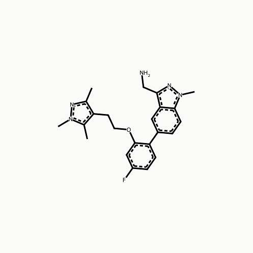 Cc1nn(C)c(C)c1CCOc1cc(F)ccc1-c1ccc2c(c1)c(CN)nn2C